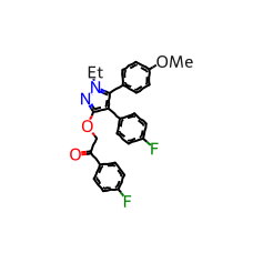 CCn1nc(OCC(=O)c2ccc(F)cc2)c(-c2ccc(F)cc2)c1-c1ccc(OC)cc1